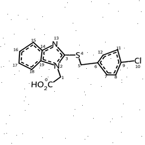 O=C(O)Cn1c(SCc2ccc(Cl)cc2)nc2ccccc21